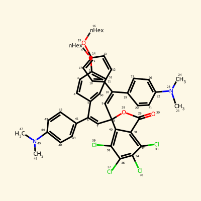 CCCCCCOc1ccc(C(=CC2(C=C(c3ccc(OCCCCCC)cc3)c3ccc(N(C)C)cc3)OC(=O)c3c(Cl)c(Cl)c(Cl)c(Cl)c32)c2ccc(N(C)C)cc2)cc1